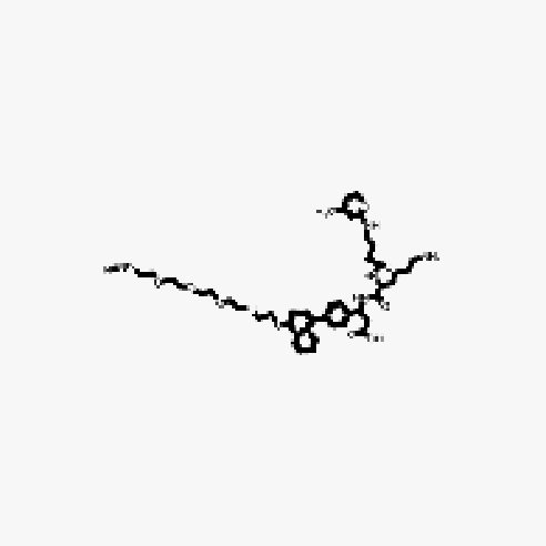 Cc1ccnc(NCCCC(=O)NC(CCCCN)C(=O)NC(CC(=O)O)c2ccc(-c3ccc(OCCOCCOCCOCCOCCN=[N+]=[N-])c4ccccc34)cc2)c1